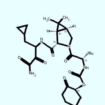 CC(C)(C)[C@H](NC(=O)O[C@H]1CCCCC1=O)C(=O)N1C[C@H]2[C@@H]([C@H]1C(=O)NC(CC1CC1)C(=O)C(N)=O)C2(C)C